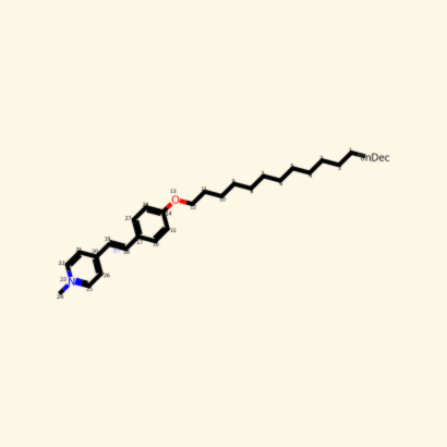 CCCCCCCCCCCCCCCCCCCCCCOc1ccc(/C=C/c2cc[n+](C)cc2)cc1